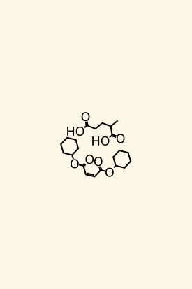 CC(CCC(=O)O)C(=O)O.O=C(/C=C\C(=O)OC1CCCCC1)OC1CCCCC1